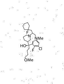 CNCC(CC1(F)CCCCC1)N1CCCC([C@@](O)(CCCCOC)c2cccc(Cl)c2F)C1